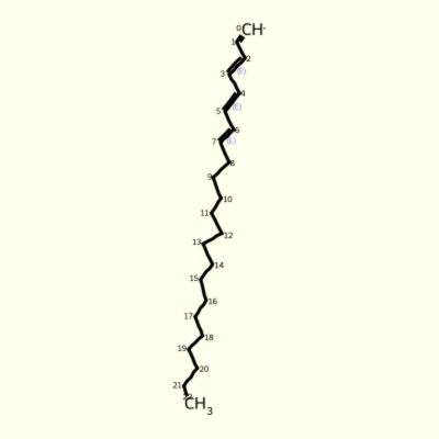 [CH]=C/C=C/C=C/C=C/CCCCCCCCCCCCCCC